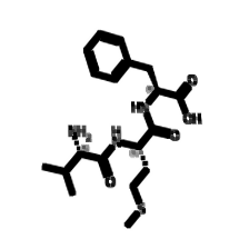 CSCC[C@H](NC(=O)[C@@H](N)C(C)C)C(=O)N[C@@H](Cc1ccccc1)C(=O)O